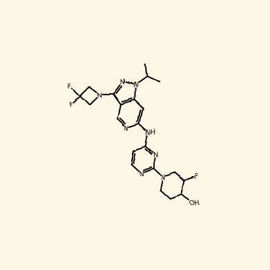 CC(C)n1nc(N2CC(F)(F)C2)c2cnc(Nc3ccnc(N4CCC(O)C(F)C4)n3)cc21